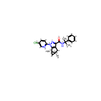 CC(C)(NC(=O)c1nn(-c2ccc(Cl)cn2)c2c1C[C@H]1C[C@@H]21)c1ccccc1